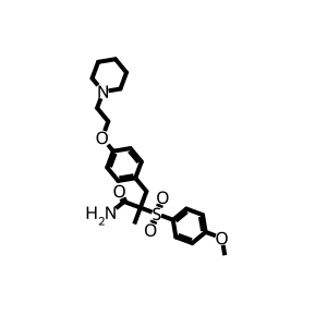 COc1ccc(S(=O)(=O)C(C)(Cc2ccc(OCCN3CCCCC3)cc2)C(N)=O)cc1